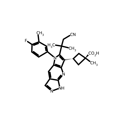 Cc1cc(-n2c(C(C)(C)CC#N)c([C@H]3C[C@](C)(C(=O)O)C3)c3nc4[nH]ncc4cc32)ccc1F